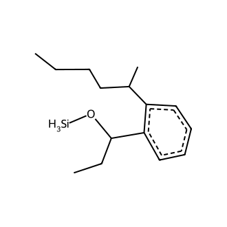 CCCCC(C)c1ccccc1C(CC)O[SiH3]